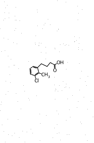 Cc1c(Cl)cccc1CCCC(=O)O